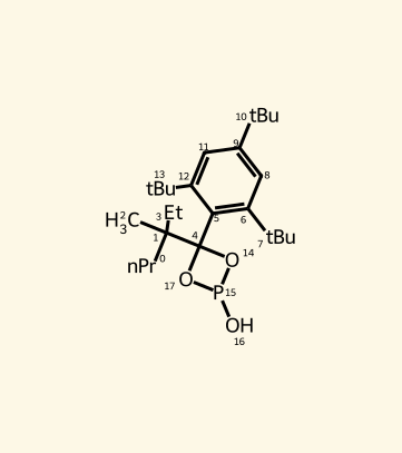 CCCC(C)(CC)C1(c2c(C(C)(C)C)cc(C(C)(C)C)cc2C(C)(C)C)OP(O)O1